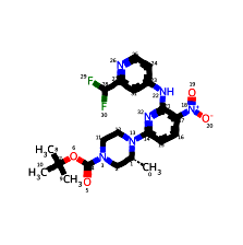 C[C@@H]1CN(C(=O)OC(C)(C)C)CCN1c1ccc([N+](=O)[O-])c(Nc2ccnc(C(F)F)c2)n1